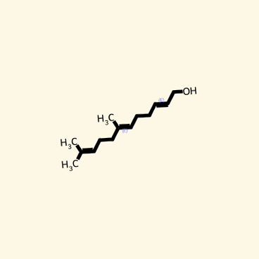 CC(C)=CCC/C(C)=C/CC/C=C/CO